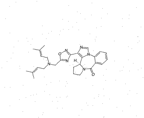 CC(C)=CCN(CC=C(C)C)Cc1nc(-c2ncn3c2[C@@H]2CCCN2C(=O)c2ccccc2-3)no1